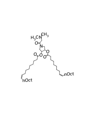 CCCCCCCC/C=C\CCCCCCCC(=O)OC1CN(C(=O)CN(C)C)CC1OC(=O)CCCCCCC/C=C\CCCCCCCC